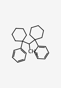 CC(C1(c2ccccc2)CCCCC1)C1(c2ccccc2)CCCCC1